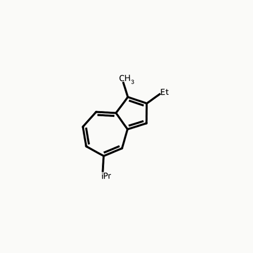 CCc1cc2cc(C(C)C)cccc-2c1C